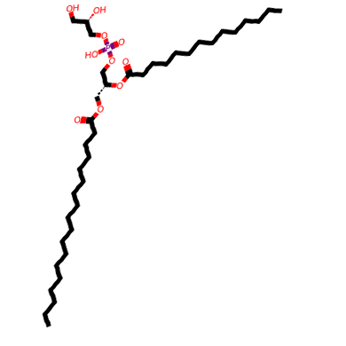 CCCCCCCCCCCCCCCCCC(=O)OC[C@H](COP(=O)(O)OC[C@@H](O)CO)OC(=O)CCCCCCCCCCCCC